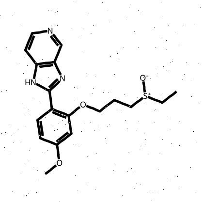 CC[S+]([O-])CCCOc1cc(OC)ccc1-c1nc2cnccc2[nH]1